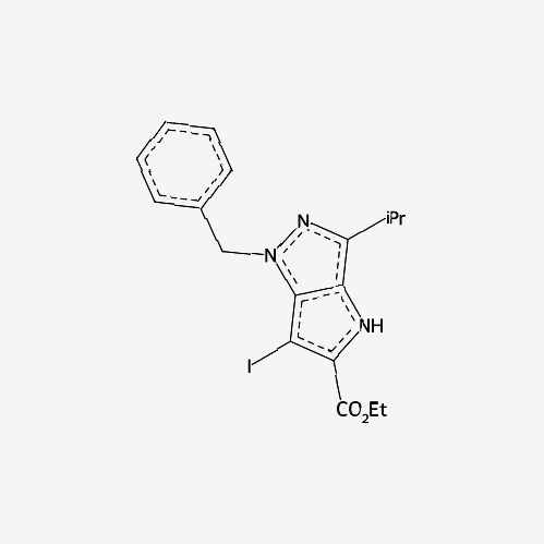 CCOC(=O)c1[nH]c2c(C(C)C)nn(Cc3ccccc3)c2c1I